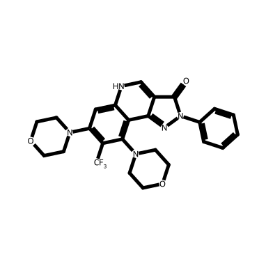 O=c1c2c[nH]c3cc(N4CCOCC4)c(C(F)(F)F)c(N4CCOCC4)c3c-2nn1-c1ccccc1